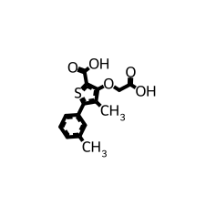 Cc1cccc(-c2sc(C(=O)O)c(OCC(=O)O)c2C)c1